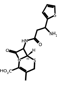 CC1=C(C(=O)O)N2C(=O)C(NC(=O)CC(N)c3cccs3)[C@@H]2SC1